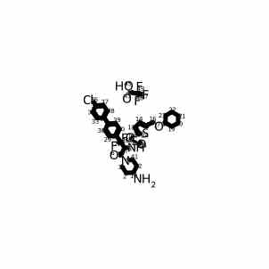 NC1CCN(C(=O)C(NS(=O)(=O)c2ccc(COC3CCCCC3)s2)C(F)(F)c2ccc(-c3ccc(Cl)cc3)cc2)CC1.O=C(O)C(F)(F)F